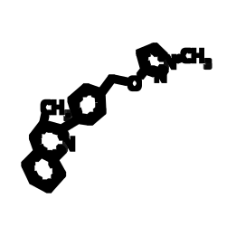 Cc1cc2ccccc2nc1-c1ccc(COc2ccn(C)n2)cc1